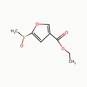 CCOC(=O)c1coc([S+](C)[O-])c1